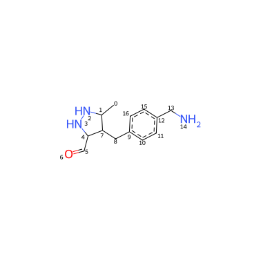 CC1NNC(C=O)C1Cc1ccc(CN)cc1